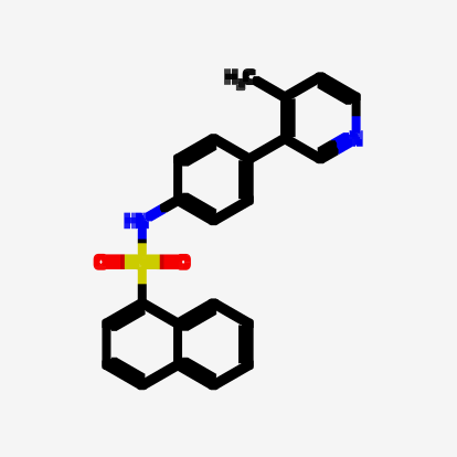 Cc1ccncc1-c1ccc(NS(=O)(=O)c2cccc3ccccc23)cc1